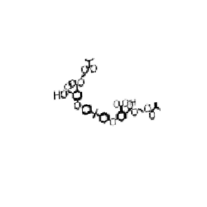 C=C(C)C(=O)OCCOC(=O)c1ccc(Oc2ccc(C(C)(C)c3ccc(Oc4ccc(C(=O)OCCOC(=O)C(=C)C)c(C(=O)O)c4)cc3)cc2)cc1C(=O)O